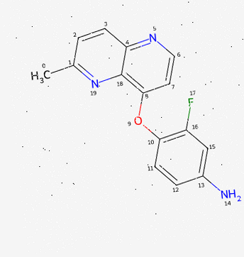 Cc1ccc2nccc(Oc3ccc(N)cc3F)c2n1